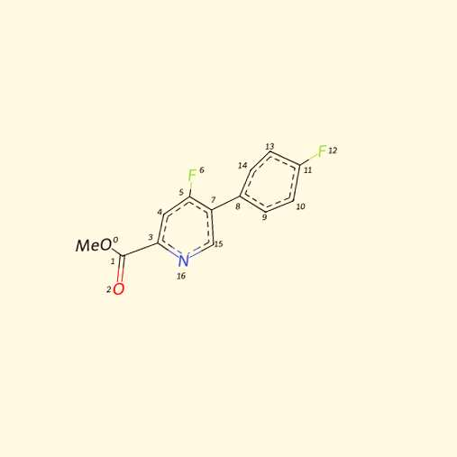 COC(=O)c1cc(F)c(-c2ccc(F)cc2)cn1